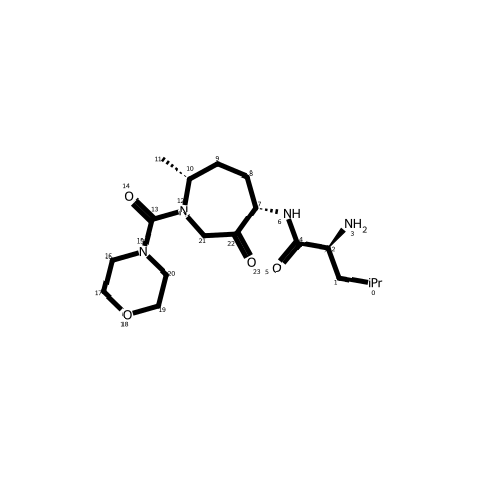 CC(C)C[C@H](N)C(=O)N[C@H]1CC[C@@H](C)N(C(=O)N2CCOCC2)CC1=O